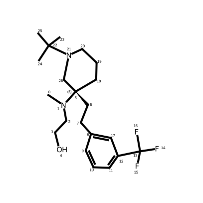 CN(CCO)[C@@]1(CCc2cccc(C(F)(F)F)c2)CCCN(C(C)(C)C)C1